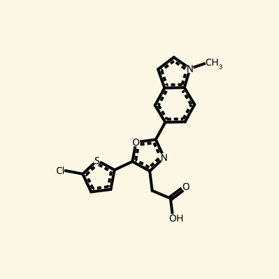 Cn1ccc2cc(-c3nc(CC(=O)O)c(-c4ccc(Cl)s4)o3)ccc21